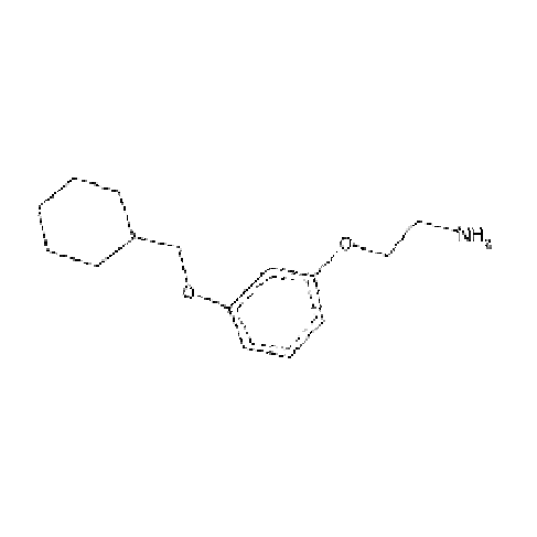 NCCOc1cccc(OCC2CCCCC2)c1